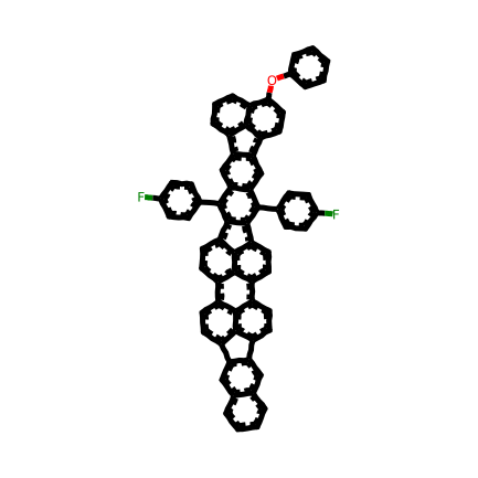 Fc1ccc(-c2c3cc4c(cc3c(-c3ccc(F)cc3)c3c5ccc6c7ccc8c9c(ccc(c%10ccc(c23)c5c%106)c97)-c2cc3ccccc3cc2-8)c2ccc(Oc3ccccc3)c3cccc4c32)cc1